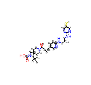 CSc1cnc(NC[C@H](C)CNc2ccc(C3CC3C(=O)N3CCC4(CC3)CN(C(=O)O)C4C(C)(C)C)cn2)nc1